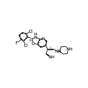 N=C/C(=C\NC1CCNCC1)c1cnc2c(c1)O[C@@H](c1c(Cl)ccc(F)c1Cl)N2